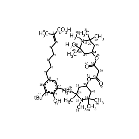 CC(=CCCCCCc1cc(C(C)(C)C)c(O)c(C(C)(C)C)c1)C(=O)O.CN1C(C)(C)CC(OC(=O)CC(=O)OC2CC(C)(C)N(C)C(C)(C)C2)CC1(C)C